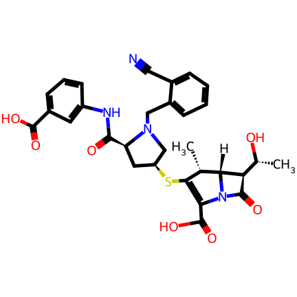 C[C@@H](O)[C@H]1C(=O)N2C(C(=O)O)=C(S[C@H]3C[C@@H](C(=O)Nc4cccc(C(=O)O)c4)N(Cc4ccccc4C#N)C3)[C@H](C)[C@H]12